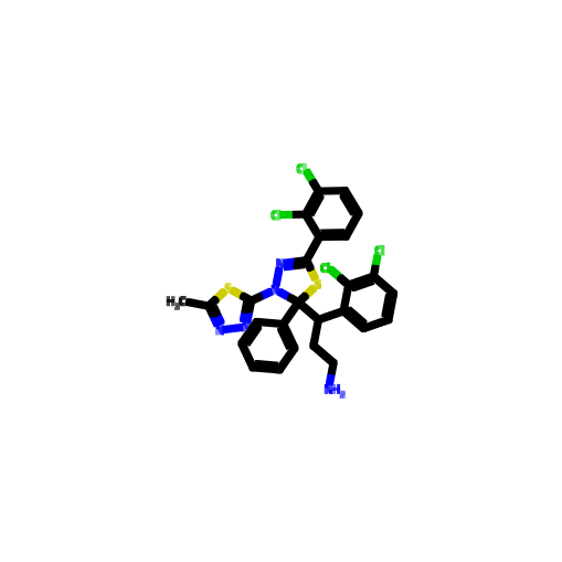 Cc1nnc(N2N=C(c3cccc(Cl)c3Cl)SC2(c2ccccc2)C(CCN)c2cccc(Cl)c2Cl)s1